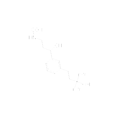 CCCC(O)(CCC)CCc1cccc(C(C)CCNC(=O)O)c1